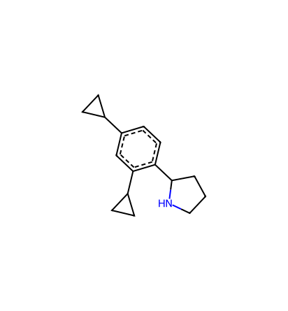 c1cc(C2CCCN2)c(C2CC2)cc1C1CC1